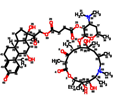 CC[C@H]1OC(=O)[C@H](C)C(=O)[C@H](C)[C@@H](O[C@@H]2O[C@H](C)CC(N(C)C)[C@H]2OC(=O)CCC(=O)OCC(=O)[C@@]2(O)CCC3[C@@H]4CCC5=CC(=O)C=C[C@]5(C)C4[C@@H](O)C[C@@]32C)[C@](C)(O)C[C@@H](C)CN(C)[C@H](C)[C@@H](O)[C@]1(C)O